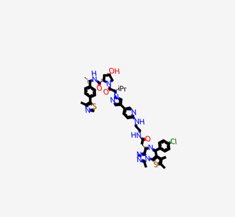 Cc1ncsc1-c1ccc([C@H](C)NC(=O)[C@@H]2C[C@@H](O)CN2C(=O)[C@H](C(C)C)n2cc(-c3ccc(NCCNC(=O)C[C@@H]4N=C(c5ccc(Cl)cc5)c5c(sc(C)c5C)-n5c(C)nnc54)nc3)cn2)cc1